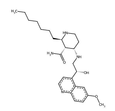 CCCCCCC[C@H]1NCC[C@H](NC[C@H](O)c2ccnc3ccc(OC)cc23)[C@@H]1C(N)=O